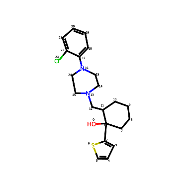 OC1(c2cccs2)CCCCC1CN1CCN(c2ccccc2Cl)CC1